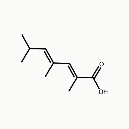 CC(=C\C(C)C)/C=C(\C)C(=O)O